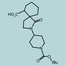 CC(C)(C)OC(=O)N1CCC(N2CCC3(CCCCC3C(=O)O)C2=O)CC1